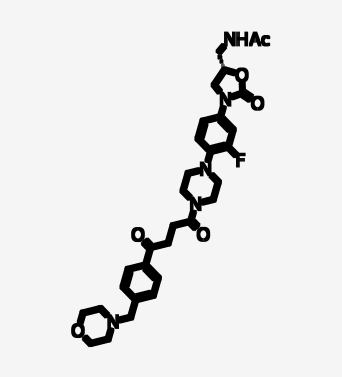 CC(=O)NC[C@H]1CN(c2ccc(N3CCN(C(=O)CCC(=O)c4ccc(CN5CCOCC5)cc4)CC3)c(F)c2)C(=O)O1